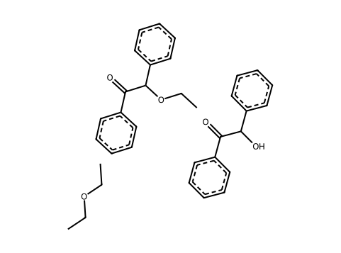 CCOC(C(=O)c1ccccc1)c1ccccc1.CCOCC.O=C(c1ccccc1)C(O)c1ccccc1